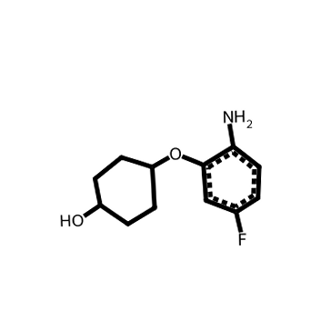 Nc1ccc(F)cc1OC1CCC(O)CC1